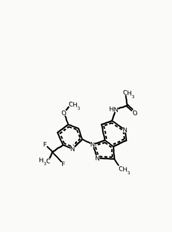 COc1cc(-n2nc(C)c3cnc(NC(C)=O)cc32)nc(C(C)(F)F)c1